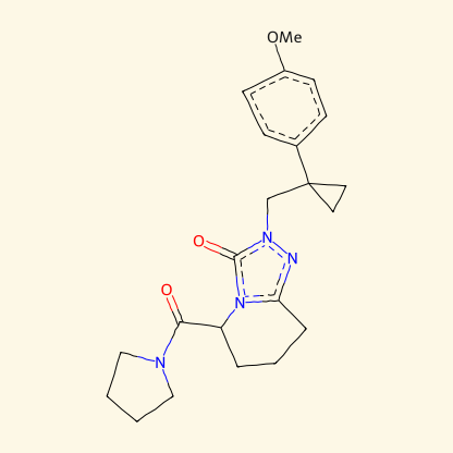 COc1ccc(C2(Cn3nc4n(c3=O)C(C(=O)N3CCCC3)CCC4)CC2)cc1